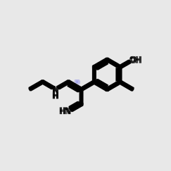 CCN/C=C(\C=N)c1ccc(O)c(C)c1